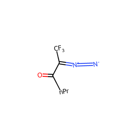 CCCC(=O)C(=[N+]=[N-])C(F)(F)F